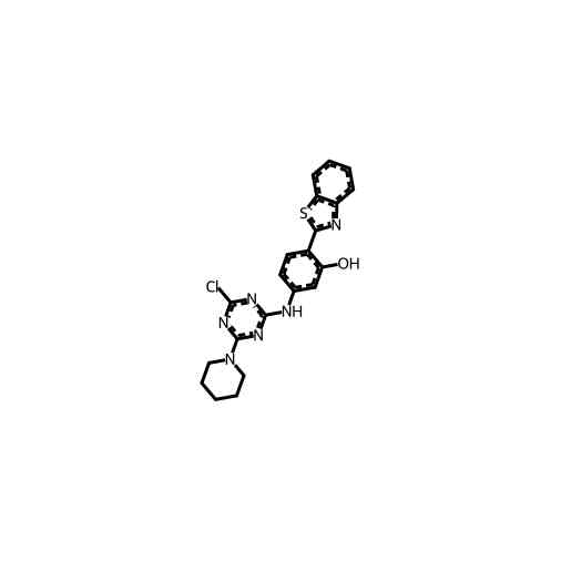 Oc1cc(Nc2nc(Cl)nc(N3CCCCC3)n2)ccc1-c1nc2ccccc2s1